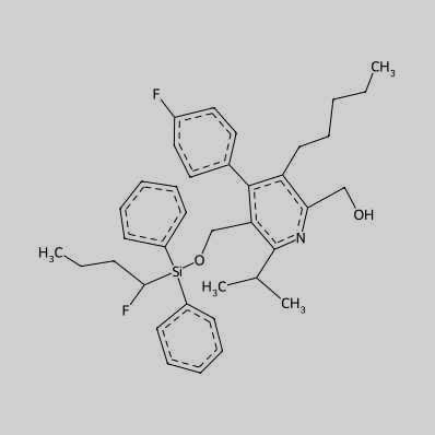 CCCCCc1c(CO)nc(C(C)C)c(CO[Si](c2ccccc2)(c2ccccc2)C(F)CCC)c1-c1ccc(F)cc1